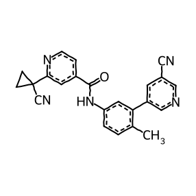 Cc1ccc(NC(=O)c2ccnc(C3(C#N)CC3)c2)cc1-c1cncc(C#N)c1